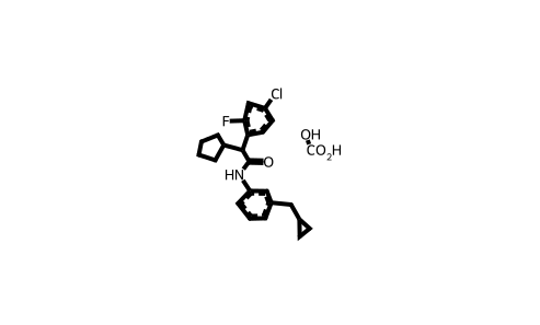 O=C(Nc1cccc(CC2CC2)c1)C(c1ccc(Cl)cc1F)C1CCCC1.O=C(O)O